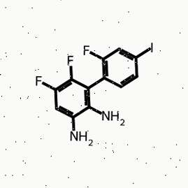 Nc1cc(F)c(F)c(-c2ccc(I)cc2F)c1N